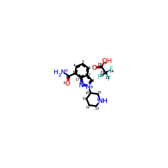 NC(=O)c1cccc2cn(C3CCCNC3)nc12.O=C(O)C(F)(F)F